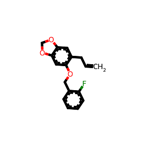 C=CCc1cc2c(cc1OCc1ccccc1F)OCO2